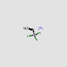 C=C[Si](Cl)(Cl)Cl.N